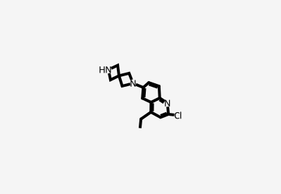 CCc1cc(Cl)nc2ccc(N3CC4(CNC4)C3)cc12